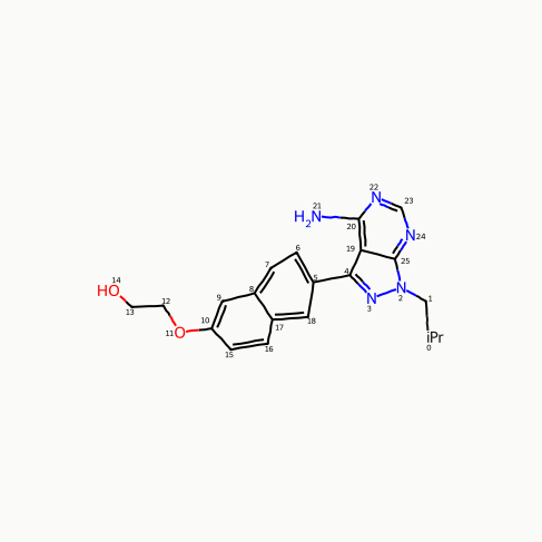 CC(C)Cn1nc(-c2ccc3cc(OCCO)ccc3c2)c2c(N)ncnc21